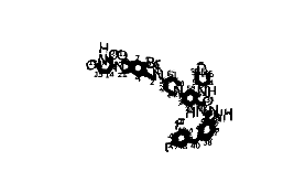 CN(Cc1cc2c(cc1Br)C(=O)N(C1CCC(=O)NC1=O)C2)C1CCN(c2ccc(C(=O)Nc3n[nH]c4ccc(Cc5cc(F)cc(F)c5)cc34)c(NC3CCOCC3)c2)CC1